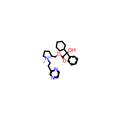 C[N@+]1(CCc2cnccn2)CCCC1COC(=O)C(O)(c1ccccc1)C1CCCCC1